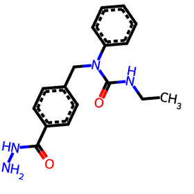 CCNC(=O)N(Cc1ccc(C(=O)NN)cc1)c1ccccc1